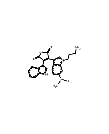 CN(C)c1ccc2c(C3=C(c4c[nH]c5ccccc45)C(=O)NC3=O)cn(CCCN)c2c1